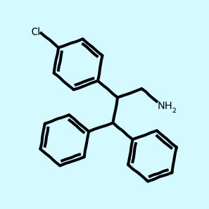 NCC(c1ccc(Cl)cc1)C(c1ccccc1)c1ccccc1